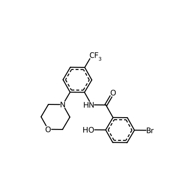 O=C(Nc1cc(C(F)(F)F)ccc1N1CCOCC1)c1cc(Br)ccc1O